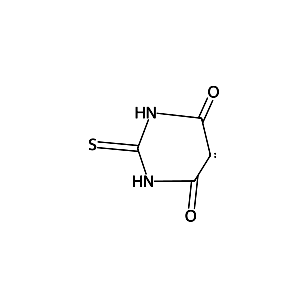 O=C1[C]C(=O)NC(=S)N1